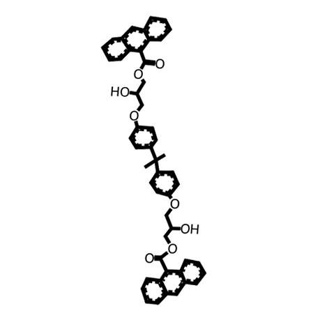 CC(C)(c1ccc(OCC(O)COC(=O)c2c3ccccc3cc3ccccc23)cc1)c1ccc(OCC(O)COC(=O)c2c3ccccc3cc3ccccc23)cc1